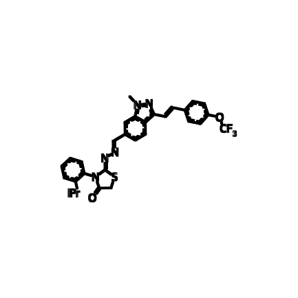 CC(C)c1ccccc1N1C(=O)CS/C1=N\N=C\c1ccc2c(/C=C/c3ccc(OC(F)(F)F)cc3)nn(C)c2c1